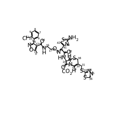 Cc1onc(-c2ccccc2Cl)c1C(=O)NCCON=C(C(=O)NC1C(=O)N2C(C(=O)O)=C(CSc3nncs3)CS[C@@H]12)c1csc(N)n1